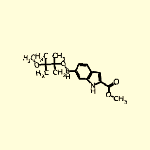 COC(=O)c1cc2ccc(BOC(C)(C)C(C)(C)OC)cc2[nH]1